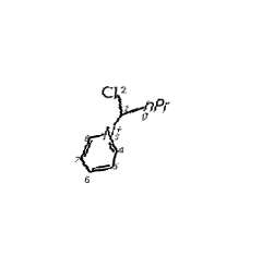 CCCC(Cl)[n+]1ccccc1